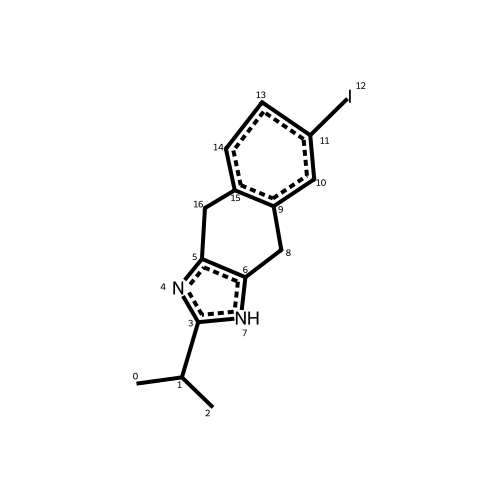 CC(C)c1nc2c([nH]1)Cc1cc(I)ccc1C2